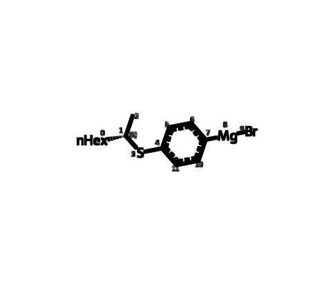 CCCCCC[C@H](C)Sc1cc[c]([Mg][Br])cc1